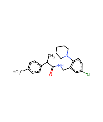 CC(C(=O)NCc1cc(Cl)ccc1N1CCCCC1)c1ccc(C(=O)O)cc1